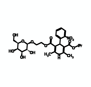 CC1=C(C(=O)OCCO[C@@H]2O[C@H](CO)[C@H](O)[C@H](O)[C@H]2O)C(c2ccccc2[N+](=O)[O-])C(C(=O)OC(C)C)=C(C)N1